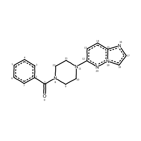 O=C(c1ccccc1)N1CCN(c2ccc3nccn3n2)CC1